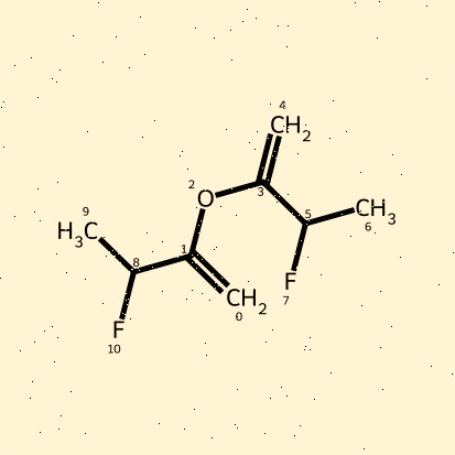 C=C(OC(=C)C(C)F)C(C)F